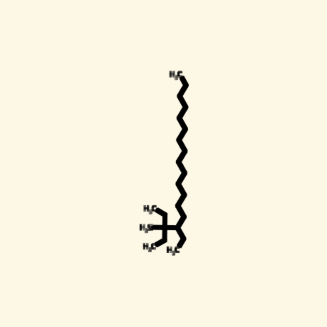 CCCCCCCCCCCCCCC(CC)C([SiH3])(CC)CC